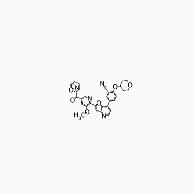 COc1cc(C(=O)N2CC3CCC2CO3)cnc1-c1cc2nccc(-c3ccc(OC4CCOCC4)c(C#N)c3)c2o1